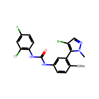 COc1ccc(NC(=O)Nc2ccc(F)cc2Cl)cc1-c1c(Br)cnn1C